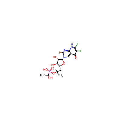 CCC(C)(C[C@H]1O[C@@H](n2cc3c(=O)c(F)c(F)[nH]c3nc2=S)[C@@H](O)C1O)OP(=O)(O)C(C)O